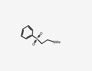 CNCCS(=O)(=O)c1ccccc1